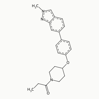 CCC(=O)N1CCC(Oc2ccc(-c3ccc4cn(C)nc4c3)cc2)CC1